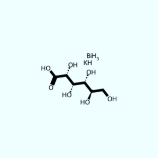 O=C(O)[C@H](O)[C@@H](O)[C@H](O)[C@H](O)CO.[BiH3].[KH]